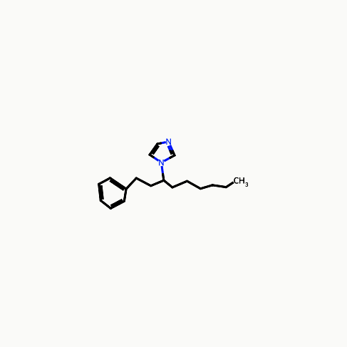 CCCCCCC(CCc1ccccc1)n1ccnc1